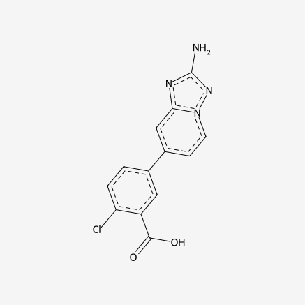 Nc1nc2cc(-c3ccc(Cl)c(C(=O)O)c3)ccn2n1